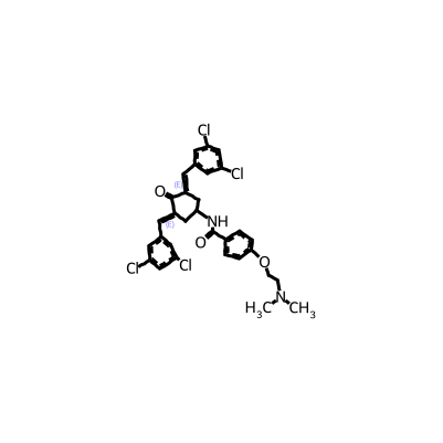 CN(C)CCOc1ccc(C(=O)NC2C/C(=C\c3cc(Cl)cc(Cl)c3)C(=O)/C(=C/c3cc(Cl)cc(Cl)c3)C2)cc1